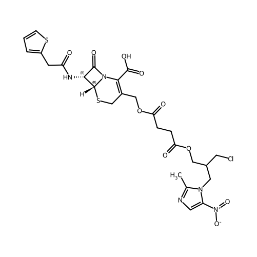 Cc1ncc([N+](=O)[O-])n1CC(CCl)COC(=O)CCC(=O)OCC1=C(C(=O)O)N2C(=O)[C@@H](NC(=O)Cc3cccs3)[C@H]2SC1